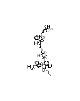 CO[C@H]1[C@H](C2(C)O[C@@H]2CC=C(C)C)[C@]2(CC[C@H]1OC(=O)NC(=O)CSCCNC(=O)[C@@H]1CCCN1C(=O)CCCC(C)=O)CO2